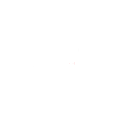 CC1Cc2c(sc(-c3csc4ccccc34)c2-c2csc3ccccc23)C1O